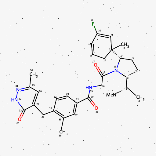 CN[C@@H](C)[C@H]1CC[C@@H](C2(C)C=C(F)C=CC2)N1C(=O)CNC(=O)c1ccc(Cc2cc(C)n[nH]c2=O)c(C)c1